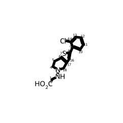 O=C(O)CNN1CCc2sc(-c3ccccc3Cl)cc2C1